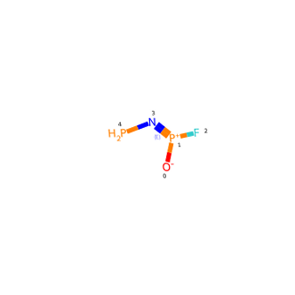 [O-]/[P+](F)=N\P